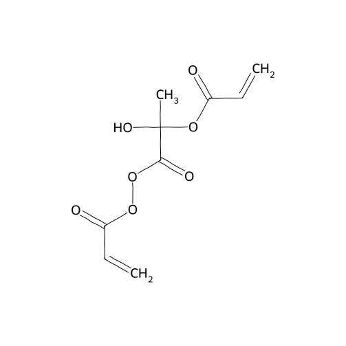 C=CC(=O)OOC(=O)C(C)(O)OC(=O)C=C